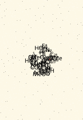 CCOC(=O)NP(=O)(N1CC1)N1CC1.CCOC(N)=O.CC[C@]1(O)C[C@@H]2C[N@@](CCc3c([nH]c4ccccc34)[C@@](C(=O)OC)(c3cc4c(cc3OC)N(C)[C@H]3[C@@](O)(C(=O)OC)[C@H](OC(C)=O)[C@]5(CC)C=CCN6CC[C@]43[C@@H]65)C2)C1